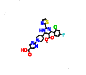 COC(=O)C1=C(C2CCN(c3ncc(C(=O)O)cn3)CC2)NC(c2nccs2)=NC1c1ccc(F)cc1Cl